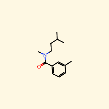 Cc1cccc(C(=O)N(C)CCC(C)C)c1